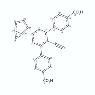 C#Cc1c(-c2ccc(C(=O)O)cc2)cccc1-c1ccc(C(=O)O)cc1.c1cc2cc-2c1